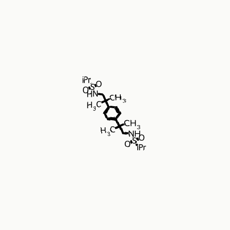 CC(C)S(=O)(=O)NCC(C)(C)c1ccc(C(C)(C)CNS(=O)(=O)C(C)C)cc1